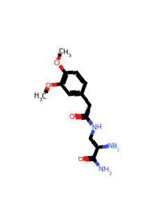 COc1ccc(CC(=O)NCC(N)C(N)=O)cc1OC